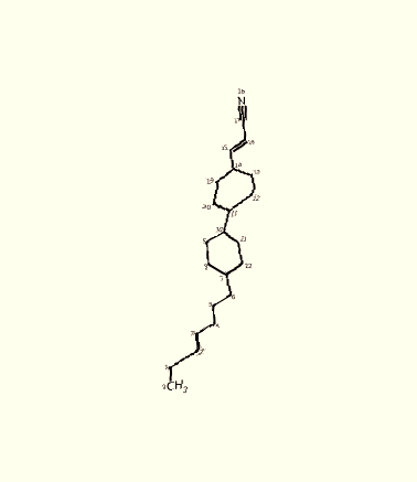 CCCCCCCC1CCC(C2CCC(C=CC#N)CC2)CC1